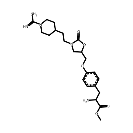 COC(=O)C(N)Cc1ccc(OCC2CN(CCC3CCN(C(=N)N)CC3)C(=O)O2)cc1